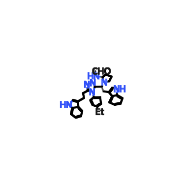 CCc1ccc(-n2c(CCc3c[nH]c4ccccc34)nnc2[C@@H](Cc2c[nH]c3ccccc23)N2CCC[C@H]2N[C]=O)cc1